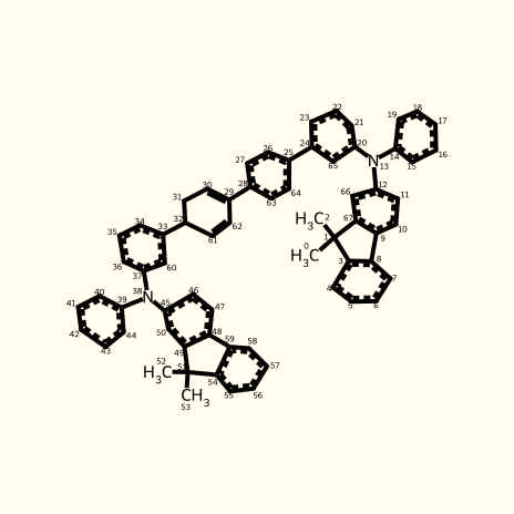 CC1(C)c2ccccc2-c2ccc(N(c3ccccc3)c3cccc(-c4ccc(C5=CCC(c6cccc(N(c7ccccc7)c7ccc8c(c7)C(C)(C)c7ccccc7-8)c6)C=C5)cc4)c3)cc21